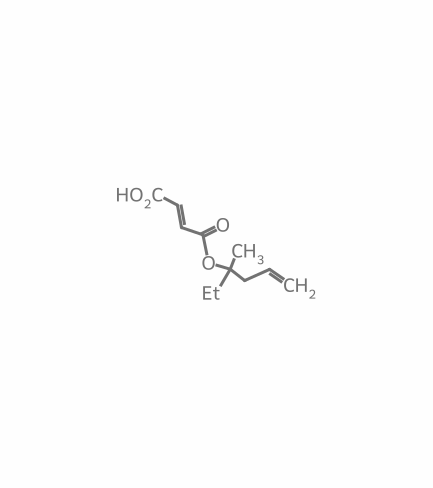 C=CCC(C)(CC)OC(=O)/C=C/C(=O)O